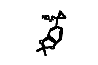 CC1(C)Oc2ccc(C3(C(=O)O)CC3)cc2O1